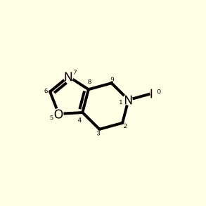 IN1CCc2ocnc2C1